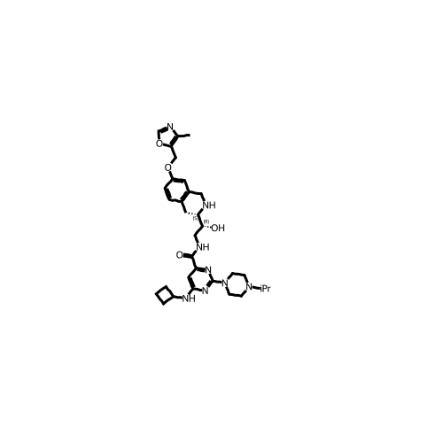 Cc1ncoc1COc1ccc2c(c1)CN[C@H]([C@H](O)CNC(=O)c1cc(NC3CCC3)nc(N3CCN(C(C)C)CC3)n1)C2